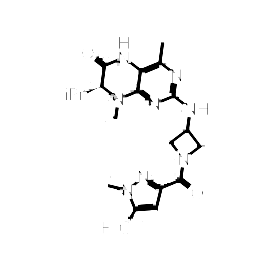 Cc1nc(NC2CN(C(=O)c3cc(C(F)(F)F)n(C)n3)C2)nc2c1NC(=O)[C@H](C(C)C)N2C